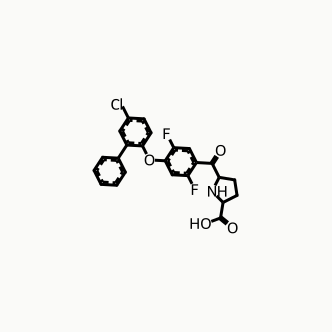 O=C(O)C1CCC(C(=O)c2cc(F)c(Oc3ccc(Cl)cc3-c3ccccc3)cc2F)N1